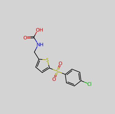 O=C(O)NCc1ccc(S(=O)(=O)c2ccc(Cl)cc2)s1